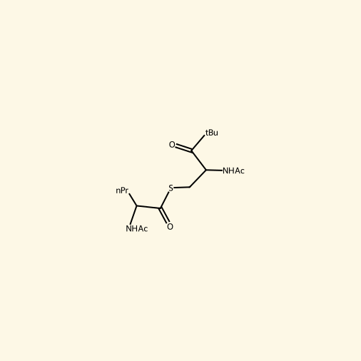 CCCC(NC(C)=O)C(=O)SCC(NC(C)=O)C(=O)C(C)(C)C